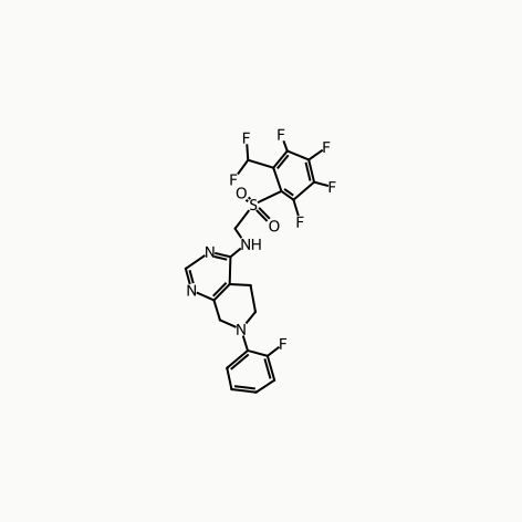 O=S(=O)(CNc1ncnc2c1CCN(c1ccccc1F)C2)c1c(F)c(F)c(F)c(F)c1C(F)F